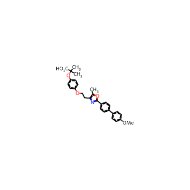 COc1ccc(-c2ccc(-c3nc(CCOc4ccc(OC(C)(C)C(=O)O)cc4)c(C)o3)cc2)cc1